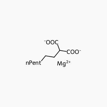 CCCCCCCC(C(=O)[O-])C(=O)[O-].[Mg+2]